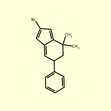 CC1(C)CC(c2ccccc2)C=C2C=C(Br)C=C21